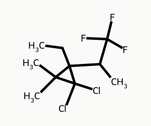 CCC1(C(C)C(F)(F)F)C(C)(C)C1(Cl)Cl